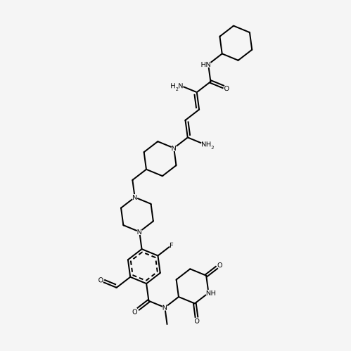 CN(C(=O)c1cc(F)c(N2CCN(CC3CCN(/C(N)=C/C=C(\N)C(=O)NC4CCCCC4)CC3)CC2)cc1C=O)C1CCC(=O)NC1=O